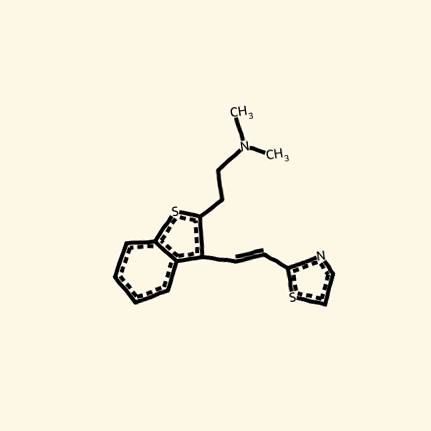 CN(C)CCc1sc2ccccc2c1C=Cc1nccs1